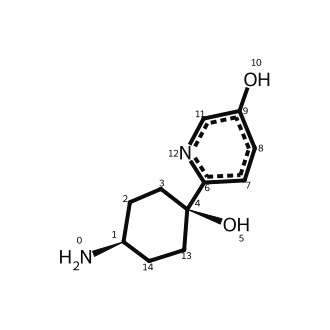 N[C@H]1CC[C@](O)(c2ccc(O)cn2)CC1